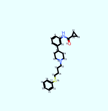 O=C(Nc1cccc(C2CCN(CCCCSc3ccccc3)CC2)c1)C1CC1